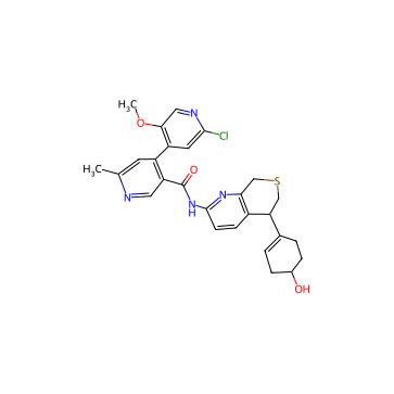 COc1cnc(Cl)cc1-c1cc(C)ncc1C(=O)Nc1ccc2c(n1)CSCC2C1=CCC(O)CC1